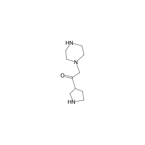 O=C(CN1CCNCC1)C1CCNC1